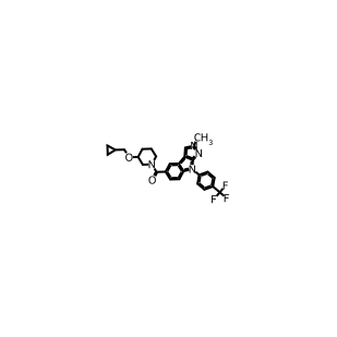 Cn1cc2c3cc(C(=O)N4CCCC(OCC5CC5)C4)ccc3n(-c3ccc(C(F)(F)F)cc3)c2n1